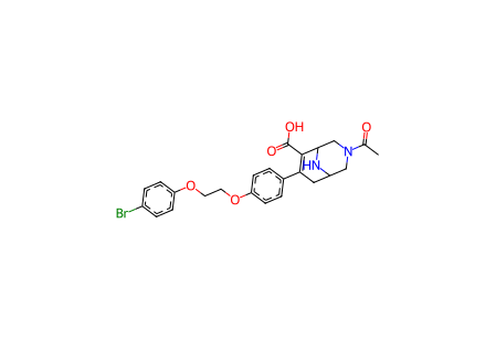 CC(=O)N1CC2CC(c3ccc(OCCOc4ccc(Br)cc4)cc3)=C(C(=O)O)C(C1)N2